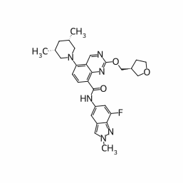 C[C@@H]1C[C@H](C)CN(c2ccc(C(=O)Nc3cc(F)c4nn(C)cc4c3)c3nc(OC[C@H]4CCOC4)ncc23)C1